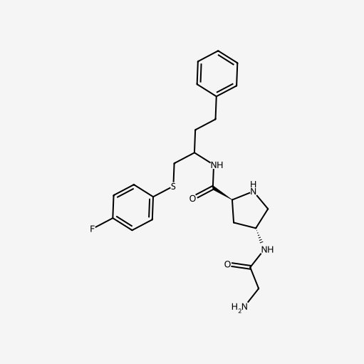 NCC(=O)N[C@H]1CN[C@H](C(=O)NC(CCc2ccccc2)CSc2ccc(F)cc2)C1